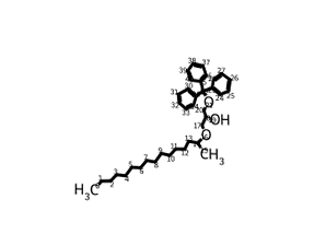 CCCCCCCCCCCCCCC(C)OC[C@@H](O)COC(c1ccccc1)(c1ccccc1)c1ccccc1